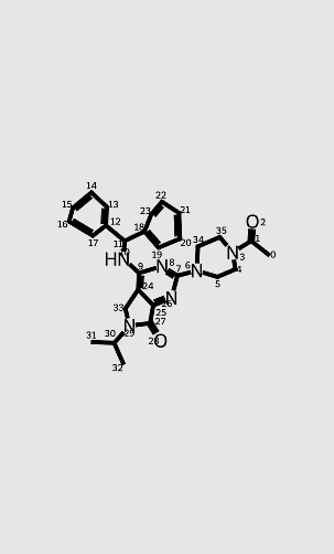 CC(=O)N1CCN(c2nc(NC(c3ccccc3)c3ccccc3)c3c(n2)C(=O)N(C(C)C)C3)CC1